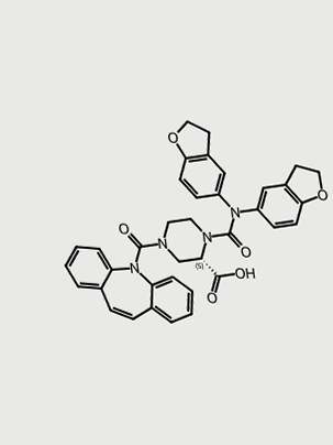 O=C(O)[C@@H]1CN(C(=O)N2c3ccccc3C=Cc3ccccc32)CCN1C(=O)N(c1ccc2c(c1)CCO2)c1ccc2c(c1)CCO2